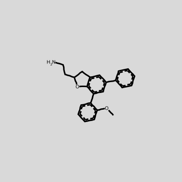 COc1ccccc1-c1cc(-c2ccccc2)cc2c1OC(CCN)C2